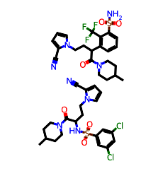 CC1CCN(C(=O)C(CCn2cccc2C#N)NS(=O)(=O)c2cc(Cl)cc(Cl)c2)CC1.CC1CCN(C(=O)C(CCn2cccc2C#N)c2cccc(S(N)(=O)=O)c2C(F)(F)F)CC1